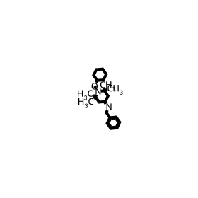 CC1(C)CC(=NCc2ccccc2)CC(C)(C)N1OC1CCCCC1